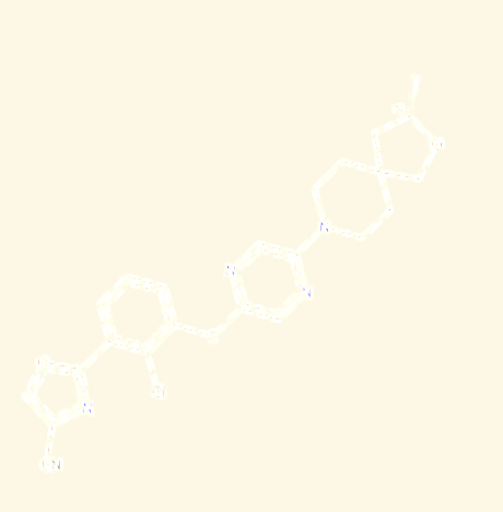 C[C@H]1CC2(CCN(c3cnc(Sc4cccc(-c5nc(C#N)co5)c4Cl)cn3)CC2)CO1